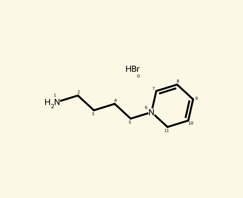 Br.NCCCCN1C=CC=CC1